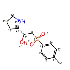 Cc1ccc(S(=O)(=O)CC(O)[C@@H]2CCCN2)cc1